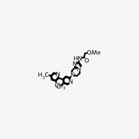 COCC(=O)Nc1cn2c(n1)CN(c1cc(-c3ncc(C)cc3C)c(Cl)cn1)CC2